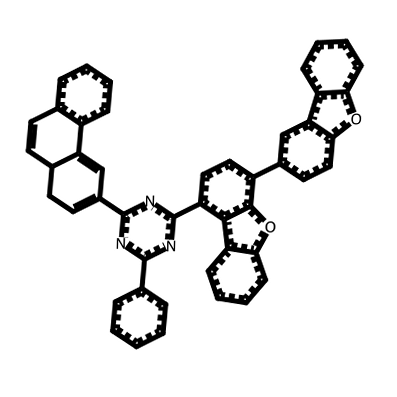 C1=CC2CC=C(c3nc(-c4ccccc4)nc(-c4ccc(-c5ccc6oc7ccccc7c6c5)c5oc6ccccc6c45)n3)C=C2c2ccccc21